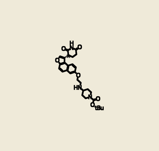 CC(C)(C)OC(=O)N1CCC(NCCOc2ccc3c(ccc4occ([C@H]5CCC(=O)NC5=O)c43)c2)CC1